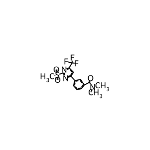 CN(C)C(=O)c1cccc(-c2cc(C(F)(F)F)nc(S(C)(=O)=O)n2)c1